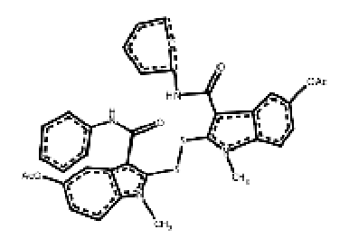 CC(=O)Oc1ccc2c(c1)c(C(=O)Nc1ccccc1)c(SSc1c(C(=O)Nc3ccccc3)c3cc(OC(C)=O)ccc3n1C)n2C